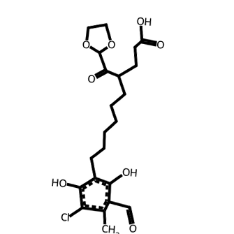 Cc1c(Cl)c(O)c(CCCCCCC(CCC(=O)O)C(=O)C2OCCO2)c(O)c1C=O